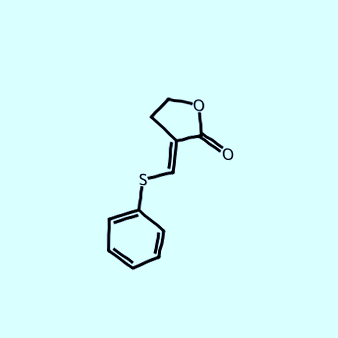 O=C1OCCC1=CSc1ccccc1